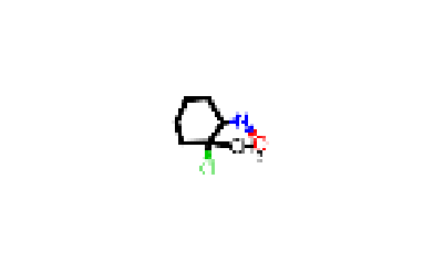 CC1(Cl)CCCCC1N=O